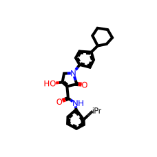 CC(C)c1ccccc1NC(=O)C1=C(O)CN(c2ccc(C3CCCCC3)cc2)C1=O